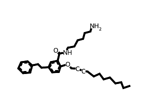 CCCCCCCCCCCCOc1ccc(CCc2ccccc2)cc1C(=O)NCCCCCCN